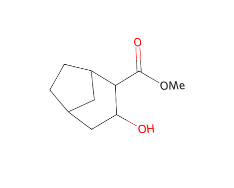 COC(=O)C1C(O)CC2CCC1C2